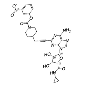 Nc1nc(C#CCC2CCN(C(=O)Oc3cccc([N+](=O)[O-])c3)CC2)nc2c1ncn2[C@@H]1O[C@H](C(=O)NC2CC2)C(O)[C@@H]1O